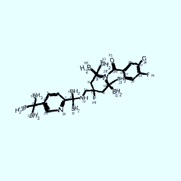 BC(B)(B)c1ccc(C(B)(B)NCC2(F)CC(B)(B)N(C(=O)c3ccc(F)c(Cl)c3)C(B)(B)C2)nc1